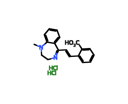 CN1CCN=C(C=Cc2ccccc2C(=O)O)c2ccccc21.Cl.Cl